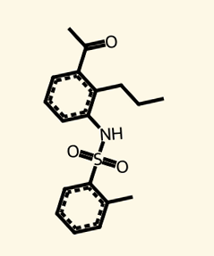 CCCc1c(NS(=O)(=O)c2ccccc2C)cccc1C(C)=O